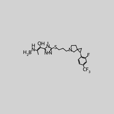 BN/C(C)=C(\O)c1nnc(SCCCN2CCC3(C[C@H]3c3ccc(C(F)(F)F)cc3F)C2)n1C